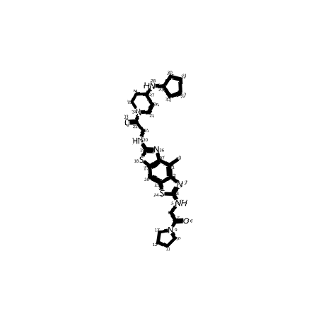 Cc1c2nc(NCC(=O)N3CCCC3)sc2cc2sc(NCC(=O)N3CCC(NC4CCCC4)CC3)nc12